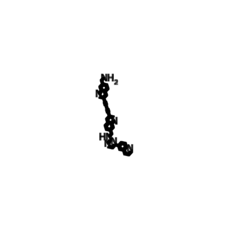 NCc1ccc2cc(C#CC#Cc3cnc4cc(CNc5nccc(-c6ccc7ncccc7c6)n5)ccc4c3)cnc2c1